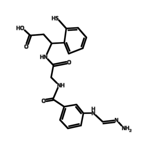 NN=CNc1cccc(C(=O)NCC(=O)NC(CC(=O)O)c2ccccc2S)c1